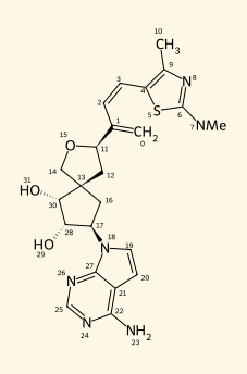 C=C(/C=C\c1sc(NC)nc1C)[C@H]1C[C@@]2(CO1)C[C@@H](n1ccc3c(N)ncnc31)[C@H](O)[C@@H]2O